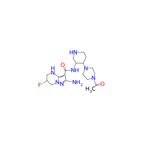 CC(=O)N1CCN(C2CCNCC2NC(=O)c2c(N)nn3c2NCC(F)C3)CC1